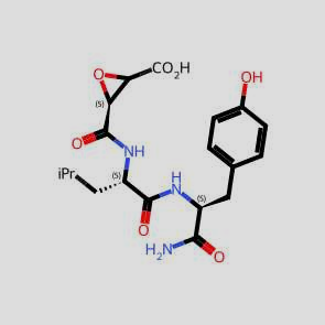 CC(C)C[C@H](NC(=O)[C@H]1OC1C(=O)O)C(=O)N[C@@H](Cc1ccc(O)cc1)C(N)=O